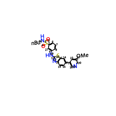 CCCCNS(=O)(=O)c1cccc(Nc2nc3ccc(-c4cncc(OC)c4)cc3s2)c1